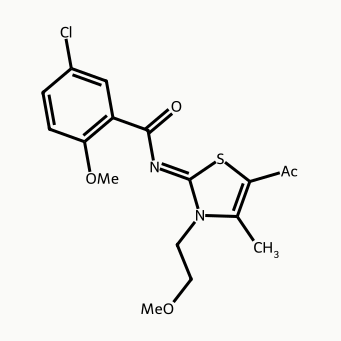 COCCn1c(C)c(C(C)=O)sc1=NC(=O)c1cc(Cl)ccc1OC